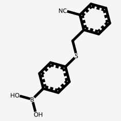 N#Cc1ccccc1CSc1ccc(B(O)O)cc1